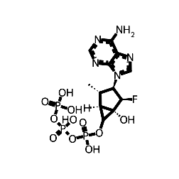 C[C@@H]1[C@@H](n2cnc3c(N)ncnc32)[C@@H](F)[C@@]2(O)C(OP(=O)(O)OP(=O)(O)OP(=O)(O)O)[C@@H]12